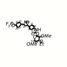 CCO[C@@H]1[C@@H](OC)[C@H](C)O[C@@H](OC(=O)Nc2ccc(C3CC(c4ccc(OC(F)(F)F)cc4)=NO3)cc2)[C@@H]1OC